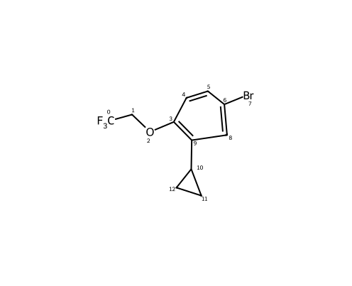 FC(F)(F)COc1ccc(Br)cc1C1CC1